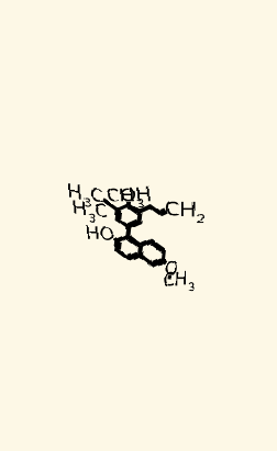 C=CCc1cc(-c2c(O)ccc3cc(OC)ccc23)cc(C(C)(C)C)c1O